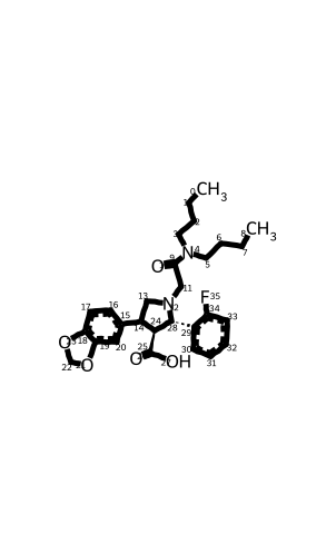 CCCCN(CCCC)C(=O)CN1CC(c2ccc3c(c2)OCO3)[C@H](C(=O)O)[C@H]1c1ccccc1F